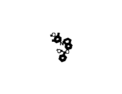 COC[C@@H](Oc1ccc2c(c1)/C(=N/c1cc(C)c(OC)c(C)c1)CCC2)c1ccccc1